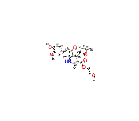 COCCOC(=O)C1=C(C)NC2=C(C(=O)CC(c3ccc(OC)c(OC)c3)C2)C1c1ccc(C)o1